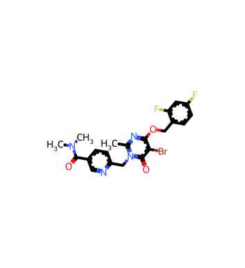 Cc1nc(OCc2ccc(F)cc2F)c(Br)c(=O)n1Cc1ccc(C(=O)N(C)C)cn1